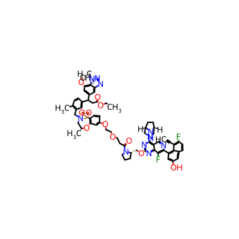 C#Cc1c(F)ccc2cc(O)cc(-c3ncc4c(N5C[C@H]6CC[C@@H](C5)N6)nc(OC[C@@H]5CCCN5C(=O)CCOCCOc5ccc6c(c5)O[C@H](C)CN(Cc5cc(C(CC(=O)OCC)c7cc(OC)c8c(c7)nnn8C)ccc5C)S6(=O)=O)nc4c3F)c12